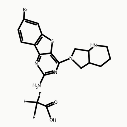 Nc1nc(N2CC3CCCNC3C2)c2sc3cc(Br)ccc3c2n1.O=C(O)C(F)(F)F